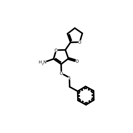 NC1=C(OSCc2ccccc2)C(=O)C(C2=CCCO2)O1